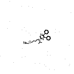 CC(C)N(CCCCOCC#N)c1cnc(-c2ccccc2)c(-c2ccccc2)n1